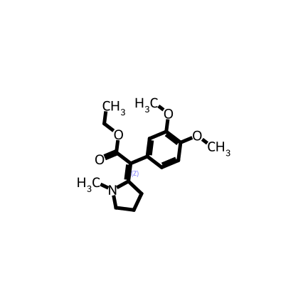 CCOC(=O)/C(=C1/CCCN1C)c1ccc(OC)c(OC)c1